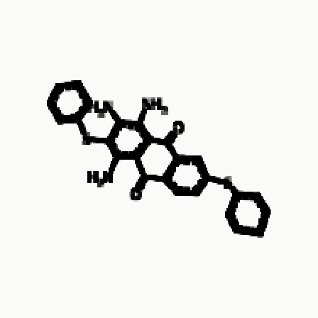 Nc1c(N)c2c(c(N)c1Sc1ccccc1)C(=O)c1ccc(Sc3ccccc3)cc1C2=O